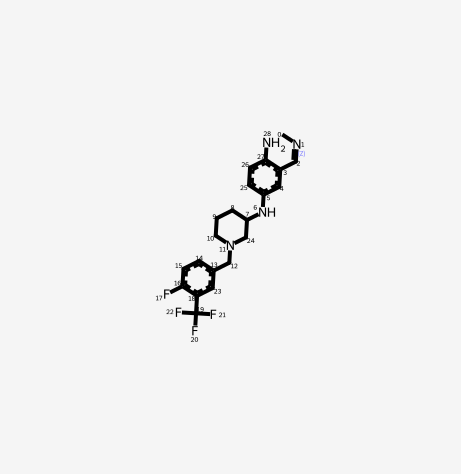 C/N=C\c1cc(NC2CCCN(Cc3ccc(F)c(C(F)(F)F)c3)C2)ccc1N